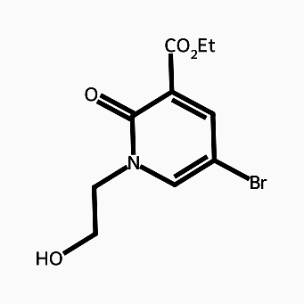 CCOC(=O)c1cc(Br)cn(CCO)c1=O